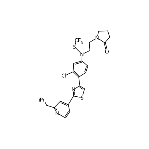 CC(C)Cc1cc(-c2nc(-c3ccc(N(CCN4CCCC4=O)SC(F)(F)F)cc3Cl)cs2)ccn1